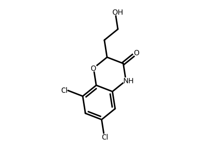 O=C1Nc2cc(Cl)cc(Cl)c2OC1CCO